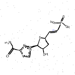 NC(=O)c1ncn(C2OC(/C=C/P(=O)(O)O)CC2O)n1